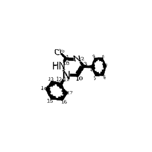 ClC1=NC(c2ccccc2)=CN(c2ccccc2)N1